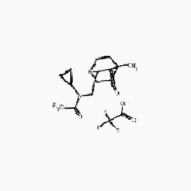 CC12CCN(CC1)C(CN(C(=O)C(F)(F)F)C1CC1)C2=O.O=C(O)C(F)(F)F